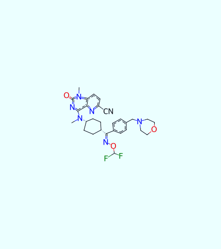 Cn1c(=O)nc(N(C)[C@H]2CC[C@@H](/C(=N/OC(F)F)c3ccc(CN4CCOCC4)cc3)CC2)c2nc(C#N)ccc21